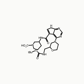 CC(C)(C)OC(=O)NCC1CN(c2ncnc3[nH]cc(C(=O)NC4CCCN(C(=O)O)C4)c23)CCO1